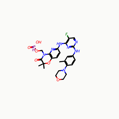 Cc1cc(Nc2ncc(F)c(Nc3ccc4c(n3)N(CO[PH](=O)O)C(=O)C(C)(C)O4)n2)ccc1N1CCOCC1